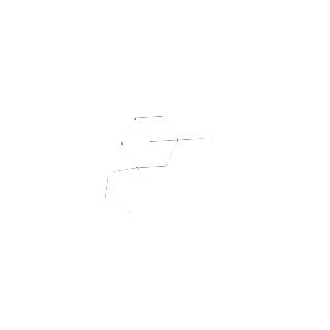 CC12CC(C1)CC1(C2)OCCO1